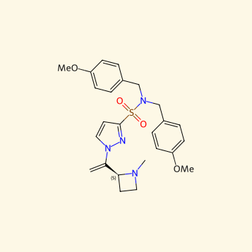 C=C([C@@H]1CCN1C)n1ccc(S(=O)(=O)N(Cc2ccc(OC)cc2)Cc2ccc(OC)cc2)n1